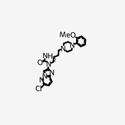 COc1ccccc1N1CCN(CCCCN(C(N)=O)c2cn3nc(Cl)ccc3n2)CC1